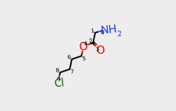 NCC(=O)OCCCCCl